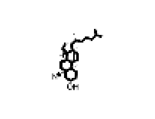 CC(C)CCC[C@@H](C)[C@H]1CC[C@H]2C3=CC[C@]4(C#N)C[C@H](O)CC[C@]4(C)[C@H]3CC[C@]12C